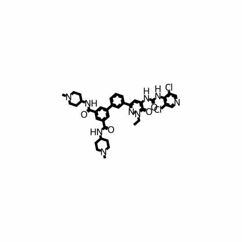 CCn1nc(-c2cccc(-c3cc(C(=O)NC4CCN(C)CC4)cc(C(=O)NC4CCN(C)CC4)c3)c2)cc(NC(=O)Nc2c(Cl)cncc2Cl)c1=O